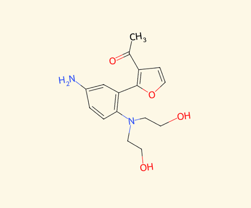 CC(=O)c1ccoc1-c1cc(N)ccc1N(CCO)CCO